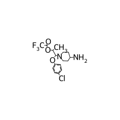 CC(OC(=O)C(F)(F)F)C(Oc1ccc(Cl)cc1)N1CCC(N)CC1